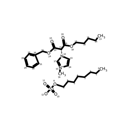 CCCCCCCCOS(=O)(=O)[O-].CCCCCOC(=O)[C@@H](C(=O)OCc1ccccc1)n1cc[n+](C)c1